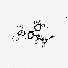 CC1(C)CC=C(c2cc([C@@H]3C[C@@]4(CO)C=C[C@@](CO)(C3)O4)ccc2NC(=O)c2nc(C#N)c[nH]2)CC1